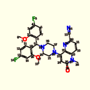 COc1cc(F)ccc1C(c1ccc(F)cc1OC)N1CCN(c2cc(=O)n(C)c3ccc(C#N)nc23)CC1